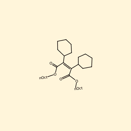 CCCCCCCCOC(=O)C(=C(C(=O)OCCCCCCCC)C1CCCCC1)C1CCCCC1